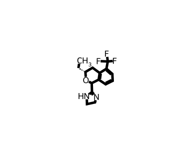 CC[C@@H]1Cc2c(cccc2C(F)(F)F)C(C2=NCCN2)O1